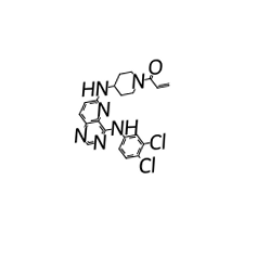 C=CC(=O)N1CCC(Nc2ccc3ncnc(Nc4ccc(Cl)c(Cl)c4)c3n2)CC1